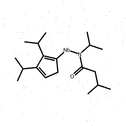 CC(C)CC(=O)[N]([Nb][C]1=C(C(C)C)C(C(C)C)=CC1)C(C)C